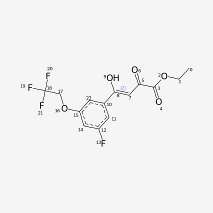 CCOC(=O)C(=O)/C=C(\O)c1cc(F)cc(OCC(F)(F)F)c1